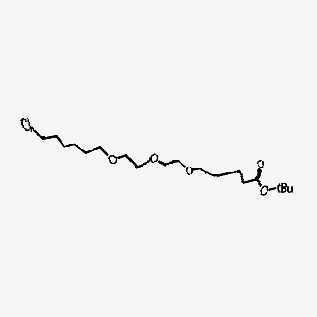 CC(C)(C)OC(=O)CCCCOCCOCCOCCCCCCCl